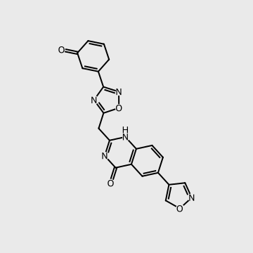 O=C1C=CCC(c2noc(Cc3nc(=O)c4cc(-c5cnoc5)ccc4[nH]3)n2)=C1